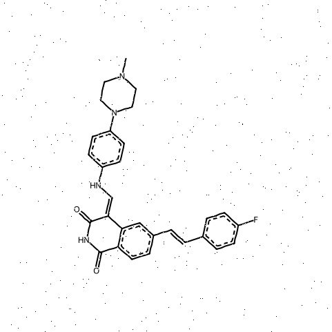 CN1CCN(c2ccc(NC=C3C(=O)NC(=O)c4ccc(C=Cc5ccc(F)cc5)cc43)cc2)CC1